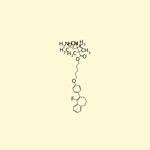 CC(C)(N)CC(C)(N)C(C)(C)C(=O)OCCCCCOc1ccc(C2=C(F)c3ccccc3CCC2)cc1